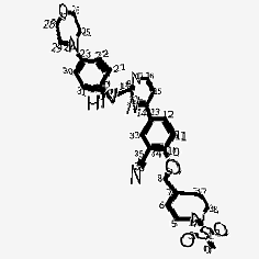 CS(=O)(=O)N1CCC(COc2ccc(-c3ccnc(Nc4ccc(N5CCOCC5)cc4)n3)cc2C#N)CC1